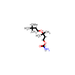 COC(C)(C)CCOC(C)(C)CCOC(N)=O